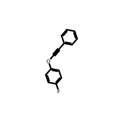 Fc1ccc(OC#Cc2ccccc2)cc1